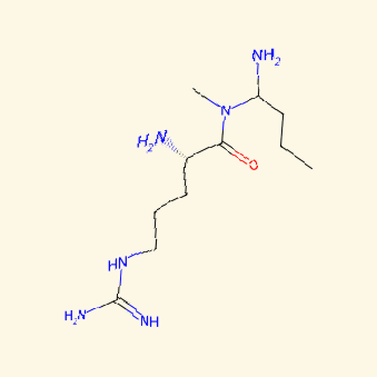 CCCC(N)N(C)C(=O)[C@@H](N)CCCNC(=N)N